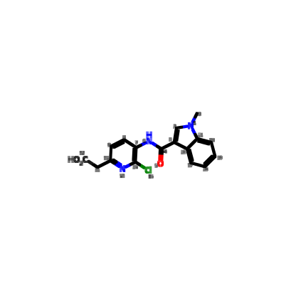 Cn1cc(C(=O)Nc2ccc(CC(=O)O)nc2Cl)c2ccccc21